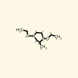 CCON1CCN(OCC)C(C)C1